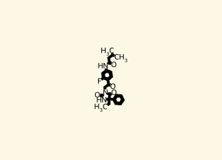 CCC1(c2ccccc2)NC(=O)N(CC(=O)c2ccc(NC(=O)CC(C)C)cc2F)C1=O